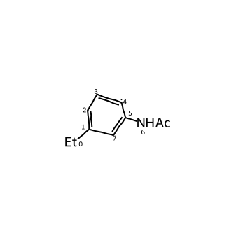 CCc1cc[c]c(NC(C)=O)c1